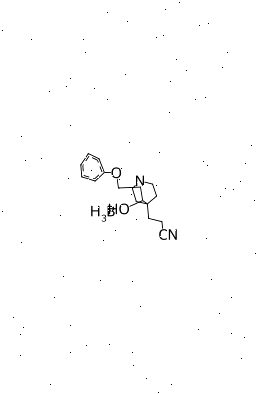 B.N#CCCC12CCN(CC1)C(COc1ccccc1)C2O